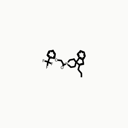 CCCC1=Cc2ccccc2C12CCN(C(=O)COc1ccccc1C(F)(F)F)CC2